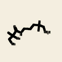 CC(C)(C)CC(C)(C(=O)NCCC[N+](C)(C)CC(=O)O)C(C)(C)C